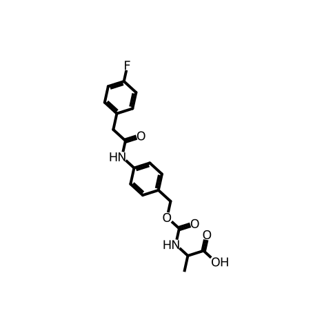 CC(NC(=O)OCc1ccc(NC(=O)Cc2ccc(F)cc2)cc1)C(=O)O